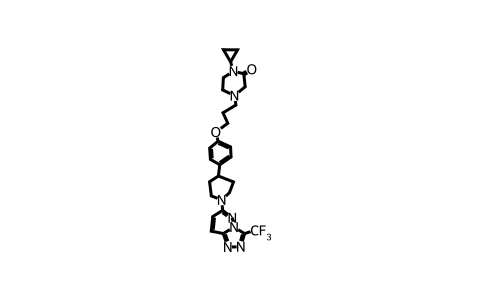 O=C1CN(CCCOc2ccc(C3CCN(c4ccc5nnc(C(F)(F)F)n5n4)CC3)cc2)CCN1C1CC1